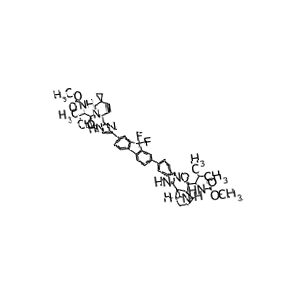 COC(=O)N[C@H](C(=O)N1CC2(C#C[C@H]1c1nc(-c3ccc4c(c3)C(F)(F)c3cc(-c5ccc6nc(C7[C@H]8CC[C@H](CC8)N7C(=O)[C@@H](NC(=O)OC)C(C)C)[nH]c6c5)ccc3-4)c[nH]1)CC2)C(C)C